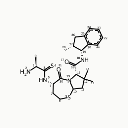 C[C@H](N)C(=S)N[C@H]1CCSC2CC(C)(C)[C@@H](C(=O)N[C@H]3c4ccccc4C[C@H]3C)N2C1=O